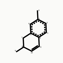 Cc1ccc2c(c1)CC(C)C=C2